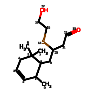 CC1C=CCC(C)(C)C1CC(CC=O)SCCO